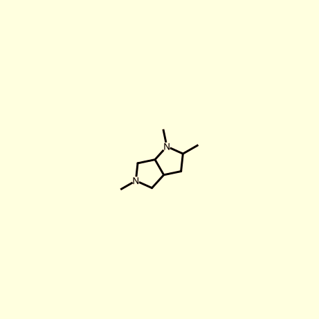 CC1CC2CN(C)CC2N1C